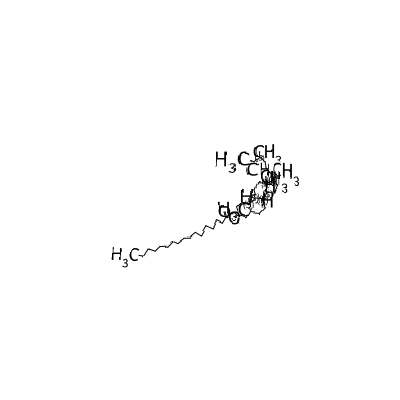 CCCCCCCCCCCCCCCCC(=O)OC1CC[C@@]2(C)C(CC[C@H]3[C@@H]4CC[C@H]([C@H](C)CC[C@H](C)C(C)C)[C@@]4(C)CC[C@@H]32)C1